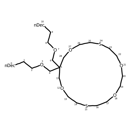 CCCCCCCCCCCCOCC1(COCCCCCCCCCCCC)COCCSCCOCCOCCSCCOC1